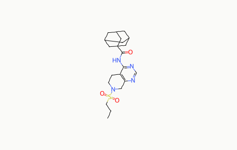 CCCS(=O)(=O)N1CCc2c(ncnc2NC(=O)C23CC4CC(CC(C4)C2)C3)C1